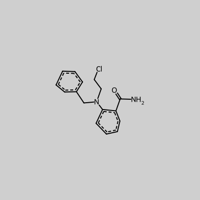 NC(=O)c1ccccc1N(CCCl)Cc1ccccc1